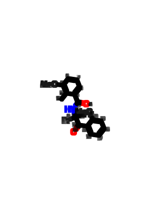 CCC(NC(=O)c1cccc(OC)c1C)(C(=O)c1ccccc1OC)C(C)C